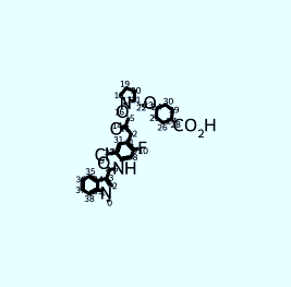 Cn1cc(C(=O)Nc2cc(F)c(CC(=O)CON3CCC[C@@H]3CO[C@H]3CC[C@H](C(=O)O)CC3)cc2Cl)c2ccccc21